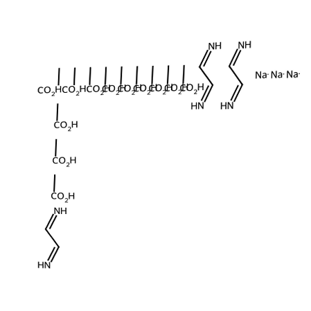 CC(=O)O.CC(=O)O.CC(=O)O.CC(=O)O.CC(=O)O.CC(=O)O.CC(=O)O.CC(=O)O.CC(=O)O.CC(=O)O.CC(=O)O.CC(=O)O.N=CC=N.N=CC=N.N=CC=N.[Na].[Na].[Na]